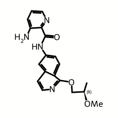 CO[C@H](C)COc1nccc2cc(NC(=O)c3ncccc3N)ccc12